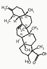 C=C1CC[C@]2(C)CC[C@]3(C)C(=CC[C@@H]4[C@@]5(C)CCC(O)C(C)(C(=O)O)C5CC[C@]43C)[C@@H]2[C@H]1C